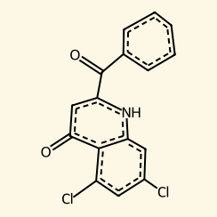 O=C(c1ccccc1)c1cc(=O)c2c(Cl)cc(Cl)cc2[nH]1